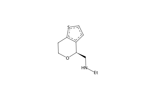 CCNC[C@H]1OCCc2sccc21